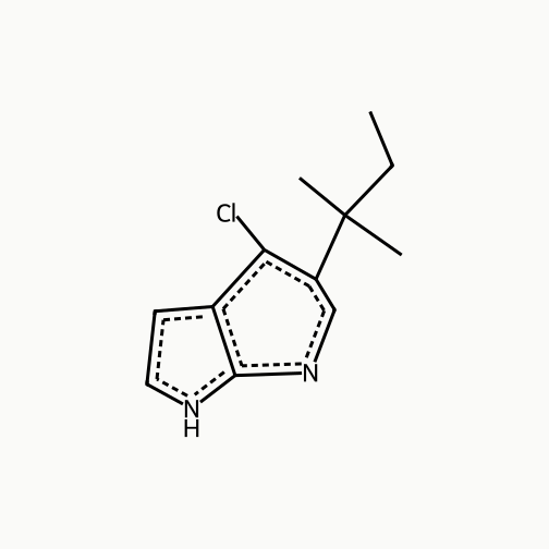 CCC(C)(C)c1cnc2[nH]ccc2c1Cl